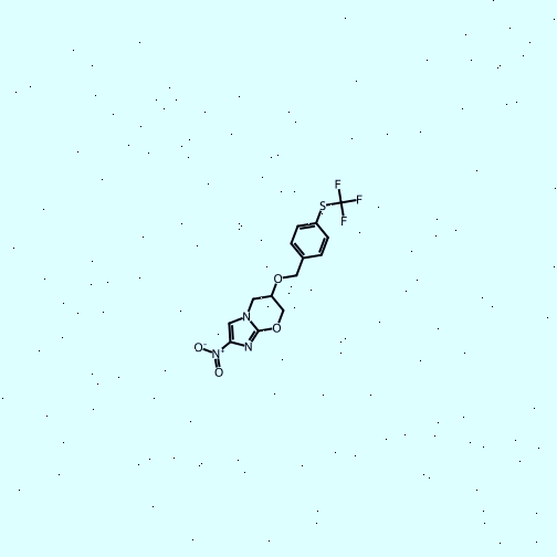 O=[N+]([O-])c1cn2c(n1)OCC(OCc1ccc(SC(F)(F)F)cc1)C2